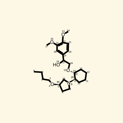 CCCCO[C@@H]1CCN([C@@H]2CCCC[C@H]2OCC(O)c2ccc(OC)c(OC)c2)C1